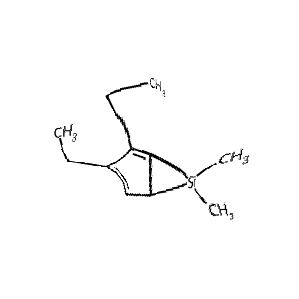 CCC1=C[C]2C(=C1CC)[Si]2(C)C